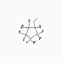 CCC1(F)C(F)(F)C(F)(F)C(F)(F)C1(F)F